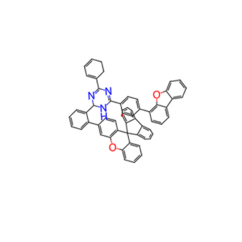 C1=CCCC(C2=NC(c3ccccc3-c3ccc4c(c3)Oc3ccccc3C43c4ccccc4-c4ccccc43)NC(c3ccc(-c4cccc5c4oc4ccccc45)cc3)=N2)=C1